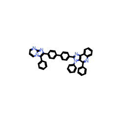 c1ccc(-c2nc3ccccc3c3nc(-c4ccc(-c5ccc(-c6nc7ncccn7c6-c6ccccc6)cc5)cc4)n(-c4ccccc4)c23)cc1